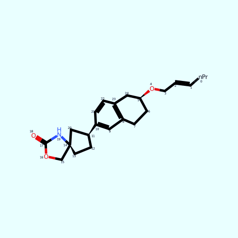 CCC/C=C/CO[C@H]1CCc2cc([C@H]3CC[C@]4(COC(=O)N4)C3)ccc2C1